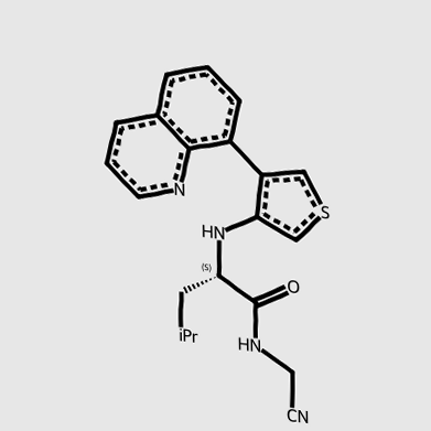 CC(C)C[C@H](Nc1cscc1-c1cccc2cccnc12)C(=O)NCC#N